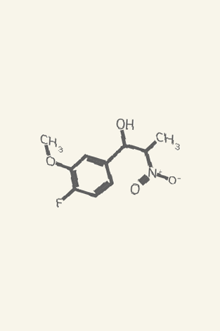 COc1cc(C(O)C(C)[N+](=O)[O-])ccc1F